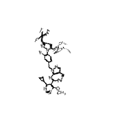 COc1ncnc(C2CC2)c1-c1ncc2cnn(Cc3ccc(-n4nc(C(F)(F)F)cc4N(C)C)c(F)c3)c2n1